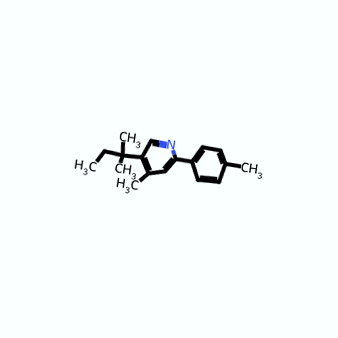 CCC(C)(C)c1cnc(-c2ccc(C)cc2)cc1C